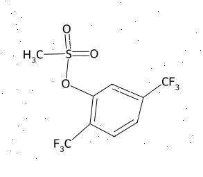 CS(=O)(=O)Oc1cc(C(F)(F)F)ccc1C(F)(F)F